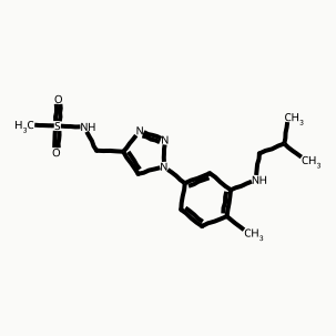 Cc1ccc(-n2cc(CNS(C)(=O)=O)nn2)cc1NCC(C)C